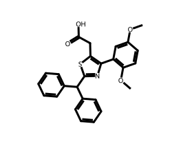 COc1ccc(OC)c(-c2nc(C(c3ccccc3)c3ccccc3)sc2CC(=O)O)c1